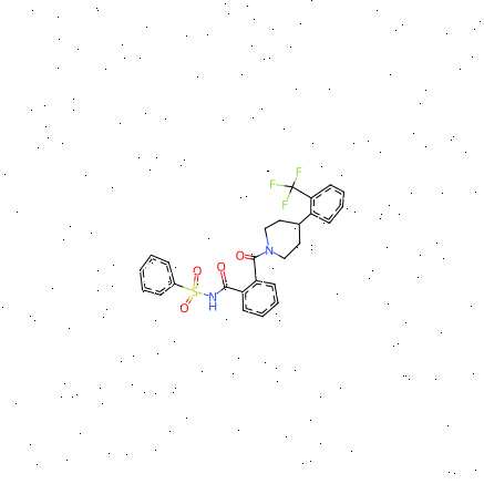 O=C(NS(=O)(=O)c1ccccc1)c1ccccc1C(=O)N1CCC(c2ccccc2C(F)(F)F)CC1